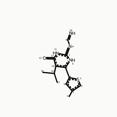 Cc1csc(-c2[nH]/c(=N/C=N)[nH]c(=O)c2C(C)C)c1